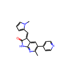 Cc1nc2c(cc1-c1ccncc1)C(=Cc1cccn1C)C(=O)N2